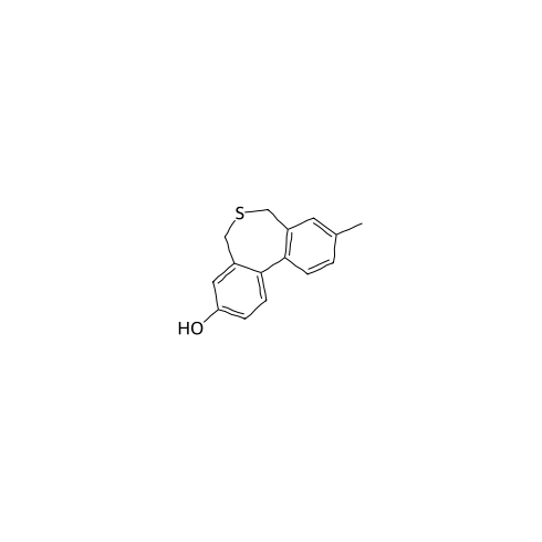 Cc1ccc2c(c1)CSCc1cc(O)ccc1-2